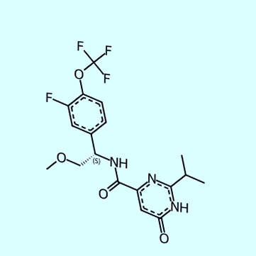 COC[C@@H](NC(=O)c1cc(=O)[nH]c(C(C)C)n1)c1ccc(OC(F)(F)F)c(F)c1